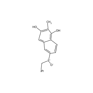 Cc1c(O)cc2cc([S+]([O-])CC(C)C)ccc2c1O